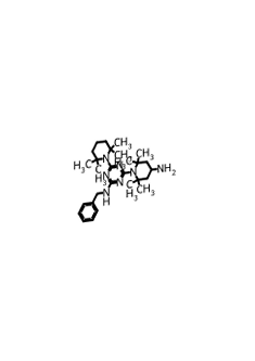 CC1(C)CCCC(C)(C)N1c1nc(NCc2ccccc2)nc(N2C(C)(C)CC(N)CC2(C)C)n1